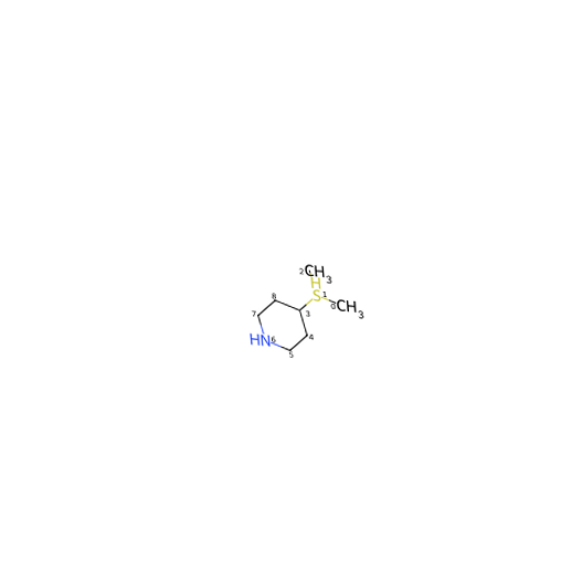 C[SH](C)C1CCNCC1